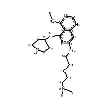 COc1ncnc2cc(OCCOCCN(C)C)cc(OC3CCOCC3)c12